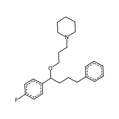 Fc1ccc(C(CCCc2ccccc2)OCCCN2CCCCC2)cc1